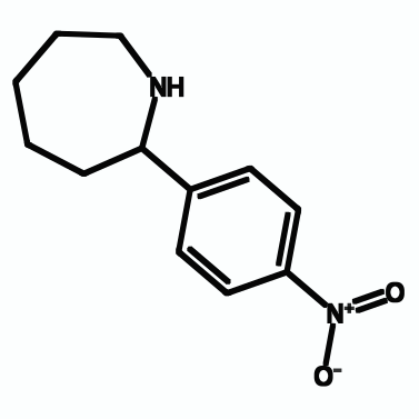 O=[N+]([O-])c1ccc(C2CCCCCN2)cc1